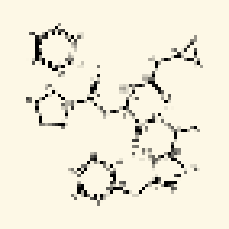 CC(NC(=O)C(CC(=O)N1CCC[C@@H]1c1ccccc1)NC(=O)CC1CC1)c1ncc(Cc2ccccc2)[nH]1